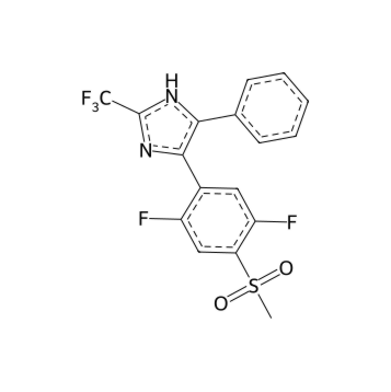 CS(=O)(=O)c1cc(F)c(-c2nc(C(F)(F)F)[nH]c2-c2ccccc2)cc1F